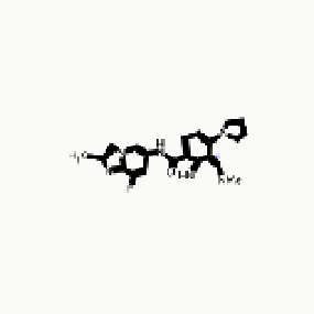 CN/C=C1\C(=N)C(C(=O)Nc2cc(F)c3nc(C)cn3c2)=CC=C1N1CCCC1